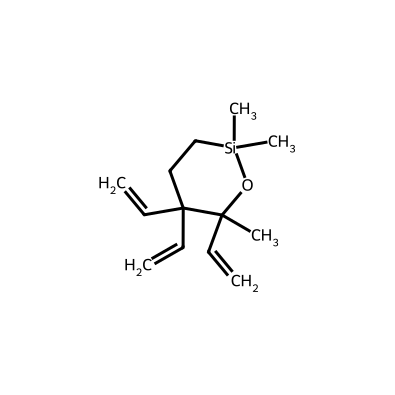 C=CC1(C=C)CC[Si](C)(C)OC1(C)C=C